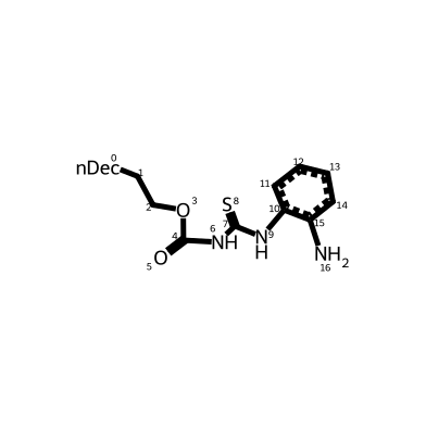 CCCCCCCCCCCCOC(=O)NC(=S)Nc1ccccc1N